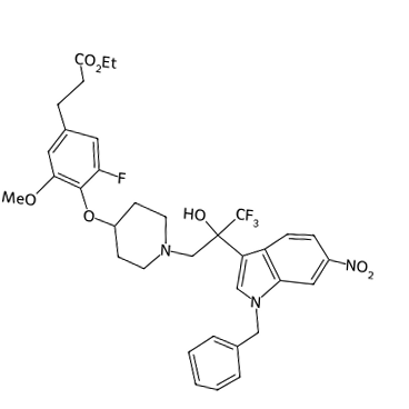 CCOC(=O)CCc1cc(F)c(OC2CCN(CC(O)(c3cn(Cc4ccccc4)c4cc([N+](=O)[O-])ccc34)C(F)(F)F)CC2)c(OC)c1